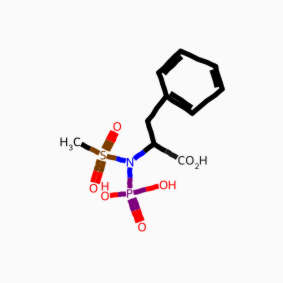 CS(=O)(=O)N(C(Cc1ccccc1)C(=O)O)P(=O)(O)O